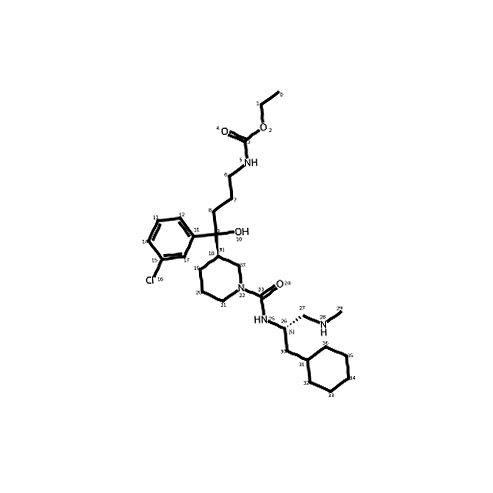 CCOC(=O)NCCCC(O)(c1cccc(Cl)c1)[C@@H]1CCCN(C(=O)N[C@H](CNC)CC2CCCCC2)C1